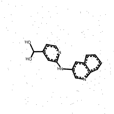 OC(O)c1ccnc(Nc2cnc3ccccc3c2)c1